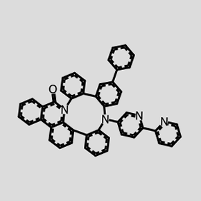 O=c1c2ccccc2c2cccc3c2n1-c1ccccc1-c1cc(-c2ccccc2)ccc1N(c1ccc(-c2ccccn2)nc1)c1ccccc1-3